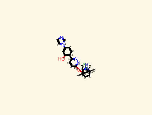 Oc1cc(-n2ccnc2)ccc1-c1ccc(O[C@H]2[C@@H]3CC[C@@H](NC3)[C@H]2F)nn1